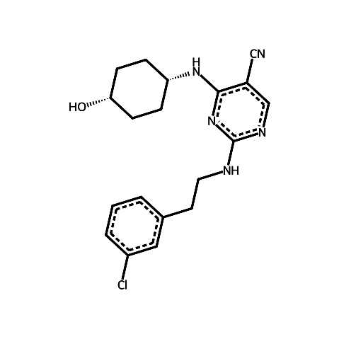 N#Cc1cnc(NCCc2cccc(Cl)c2)nc1N[C@H]1CC[C@@H](O)CC1